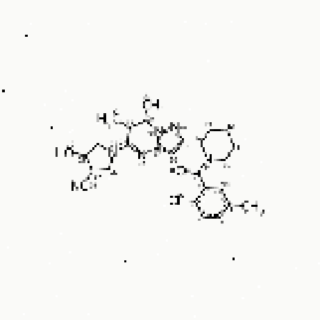 Cc1ccc(Cl)c(C(=O)N2CCCC[C@H]2c2cc3n(n2)C(C)C(C)C(N2C[C@@H](C#N)[C@@H](O)C2)=N3)c1